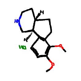 COc1ccc2c(c1OC)CC[C@H]1CCNC[C@H]21.Cl